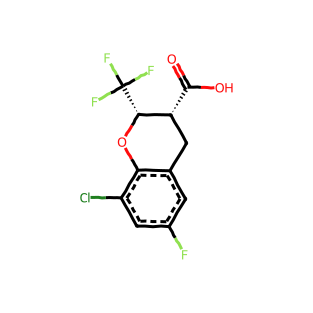 O=C(O)[C@@H]1Cc2cc(F)cc(Cl)c2O[C@@H]1C(F)(F)F